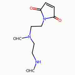 O=[C]NCCN(C=O)CCN1C(=O)C=CC1=O